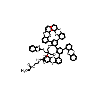 C=CC(=O)OCCNC(=O)OCC1(CSc2nc3ccccc3s2)COc2c(cc(-c3cccc4c3Sc3ccccc3S4)cc2-c2cccc3c2Sc2ccccc2S3)-c2cc(-c3cccc4c3Sc3ccccc3S4)cc(-c3cccc4c3Sc3ccccc3S4)c2OC1